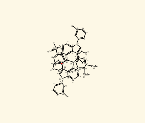 COc1cc(-c2cn(-c3cccc(C)c3)c3ncnc(N(C4CCOCC4)N(c4ncnc5c4c(-c4ccc(S(C)(=O)=O)cc4)cn5-c4cccc(C)c4)C4CCOCC4)c23)cc(OC)c1OC